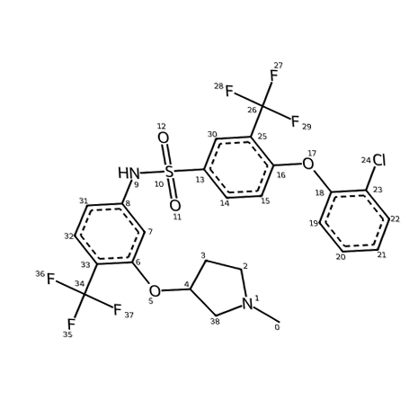 CN1CCC(Oc2cc(NS(=O)(=O)c3ccc(Oc4ccccc4Cl)c(C(F)(F)F)c3)ccc2C(F)(F)F)C1